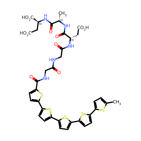 Cc1ccc(-c2ccc(-c3ccc(-c4ccc(-c5ccc(C(=O)NCC(=O)NCC(=O)N[C@@H](CC(=O)O)C(=O)N[C@@H](C)C(=O)N[C@@H](CC(=O)O)C(=O)O)s5)s4)s3)s2)s1